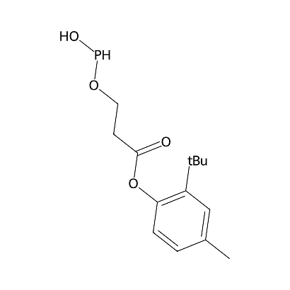 Cc1ccc(OC(=O)CCOPO)c(C(C)(C)C)c1